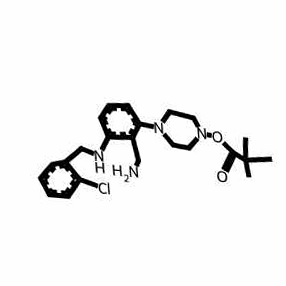 CC(C)(C)C(=O)ON1CCN(c2cccc(NCc3ccccc3Cl)c2CN)CC1